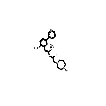 C=N/C(=C\c1cc(-c2cccnc2)ccc1C)NC(=O)CN1CCCN(C)CC1